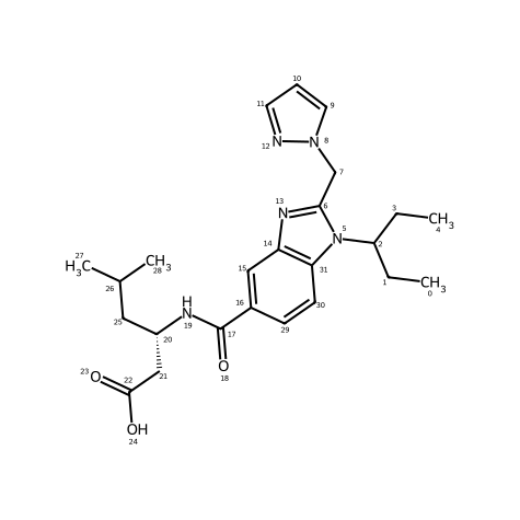 CCC(CC)n1c(Cn2cccn2)nc2cc(C(=O)N[C@H](CC(=O)O)CC(C)C)ccc21